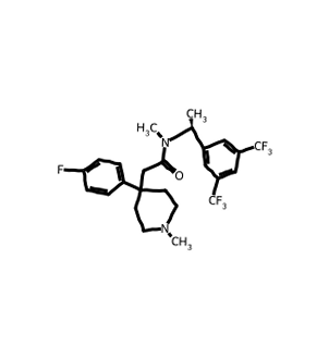 C[C@@H](c1cc(C(F)(F)F)cc(C(F)(F)F)c1)N(C)C(=O)CC1(c2ccc(F)cc2)CCN(C)CC1